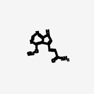 CC(C)(C)Oc1ncnc2[nH]cc(C=CC(N)=O)c12